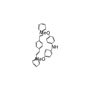 C(=Cc1ccc(C=Cc2ccccc2)cc1)c1ccccc1.COc1ccc(Nc2ccc(OC)cc2)cc1